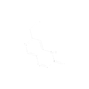 CC(=O)OCc1cc2[nH]c(=O)cnc2cn1